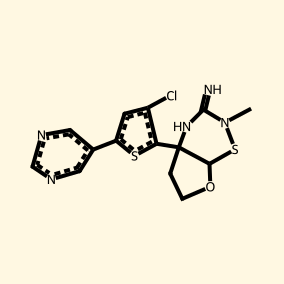 CN1SC2OCCC2(c2sc(-c3cncnc3)cc2Cl)NC1=N